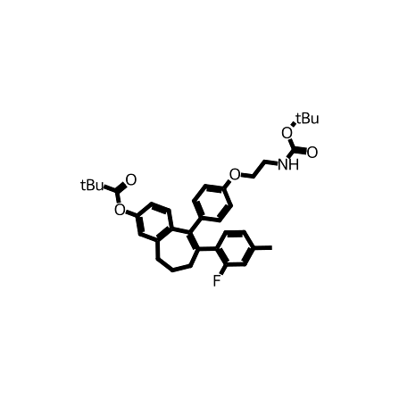 Cc1ccc(C2=C(c3ccc(OCCNC(=O)OC(C)(C)C)cc3)c3ccc(OC(=O)C(C)(C)C)cc3CCC2)c(F)c1